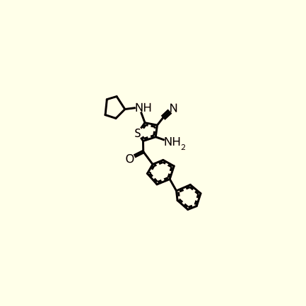 N#Cc1c(NC2CCCC2)sc(C(=O)c2ccc(-c3ccccc3)cc2)c1N